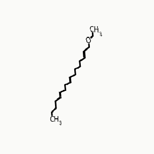 CCCCCCCCCCCCCCC=CCOCC